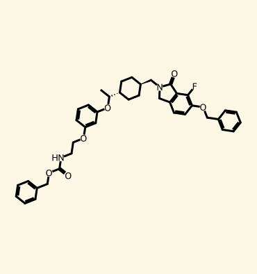 CC(Oc1cccc(OCCNC(=O)OCc2ccccc2)c1)[C@H]1CC[C@H](CN2Cc3ccc(OCc4ccccc4)c(F)c3C2=O)CC1